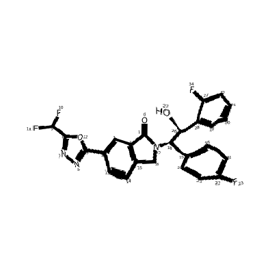 O=C1c2cc(-c3nnc(C(F)F)o3)ccc2CN1[C@H](c1ccc(F)cc1)[C@@H](O)c1ccccc1F